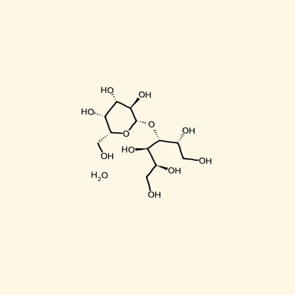 O.OC[C@@H](O)[C@@H](O[C@@H]1O[C@H](CO)[C@H](O)[C@H](O)[C@H]1O)[C@H](O)[C@@H](O)CO